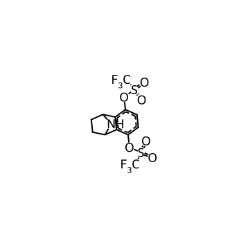 O=S(=O)(Oc1ccc(OS(=O)(=O)C(F)(F)F)c2c1C1CCC2N1)C(F)(F)F